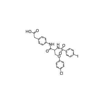 O=C(O)Cc1ccc(NC(=O)C(COc2ccc(Cl)cc2)NS(=O)(=O)c2ccc(I)cc2)cc1